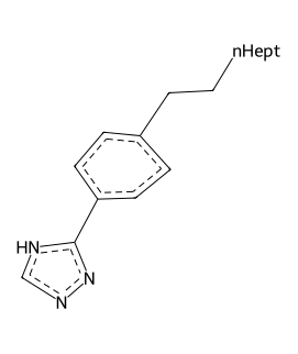 CCCCCCCCCc1ccc(-c2nnc[nH]2)cc1